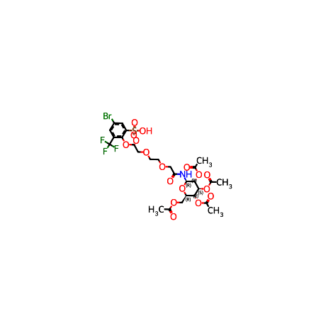 CC(=O)OC[C@H]1O[C@@H](NC(=O)COCCOCC(=O)Oc2c(C(F)(F)F)cc(Br)cc2S(=O)(=O)O)[C@H](OC(C)=O)[C@@H](OC(C)=O)[C@@H]1OC(C)=O